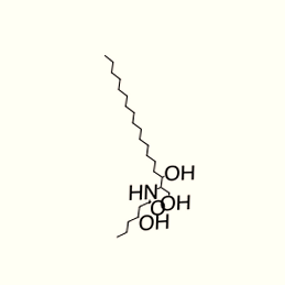 CCCCCCCCCCCCCCCC(O)C(CO)NC(=O)CC(O)CCC